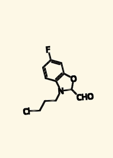 O=CC1Oc2cc(F)ccc2N1CCCCl